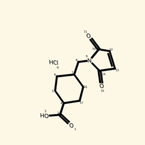 Cl.O=C(O)C1CCC(CN2C(=O)C=CC2=O)CC1